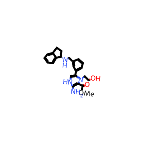 COC(=O)C1=C(N)NC=C(c2cccc(CN[C@H]3CCc4ccccc43)c2)N1CCO